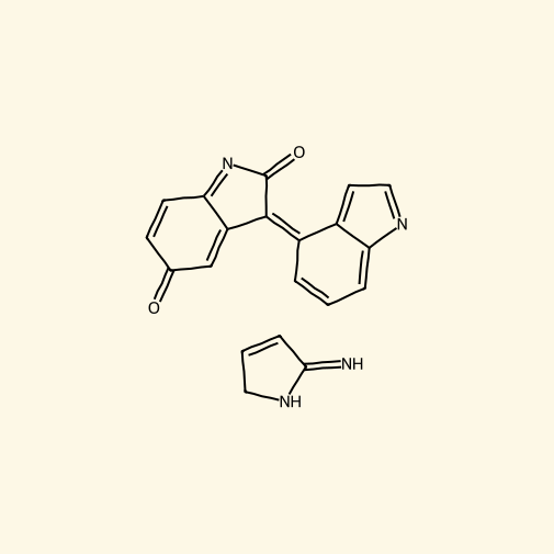 N=C1C=CCN1.O=C1C=CC2=NC(=O)C(=c3cccc4c3=CC=N4)C2=C1